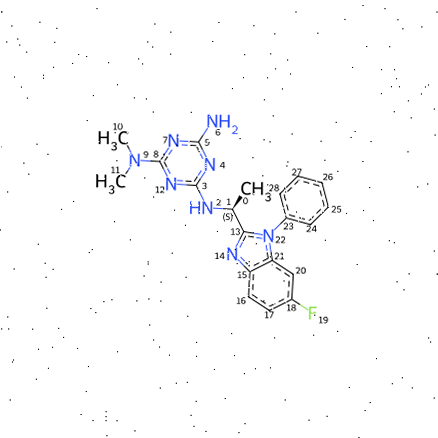 C[C@H](Nc1nc(N)nc(N(C)C)n1)c1nc2ccc(F)cc2n1-c1ccccc1